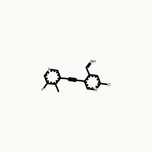 Cc1c(F)cncc1C#Cc1cnc(Cl)cc1C=N